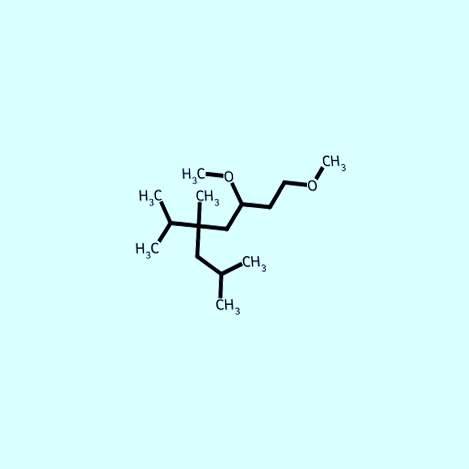 COCCC(CC(C)(CC(C)C)C(C)C)OC